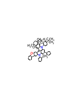 Cc1cc(C(C)(C)C)ccc1N1c2cc3c(cc2B2c4cc5oc6ccccc6c5cc4N(c4ccccc4C)c4cc(-c5ccccc5)cc1c42)C(C)(C)CCC3(C)C